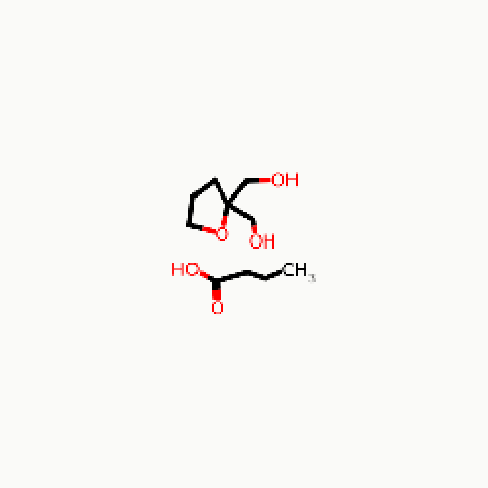 CCCC(=O)O.OCC1(CO)CCCO1